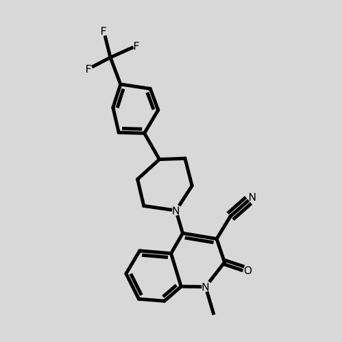 Cn1c(=O)c(C#N)c(N2CCC(c3ccc(C(F)(F)F)cc3)CC2)c2ccccc21